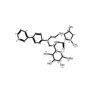 CCC[C@@H]1C[C@@H](C(=O)N[C@H](CN(CCO)c2ccc(-c3cccnc3)cc2)[C@H]2OC(SC)[C@H](O)C(O)C2O)N(C)C1